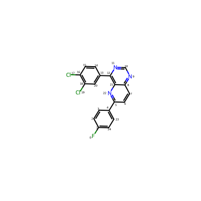 Fc1ccc(-c2ccc3ncnc(-c4ccc(Cl)c(Cl)c4)c3n2)cc1